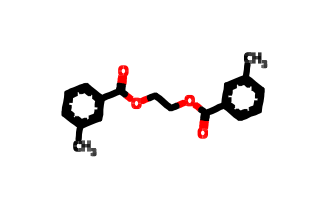 Cc1cccc(C(=O)OCCOC(=O)c2cccc(C)c2)c1